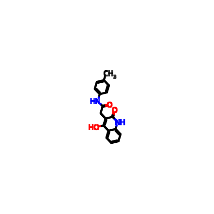 Cc1ccc(NC(=O)Cc2c(O)c3ccccc3[nH]c2=O)cc1